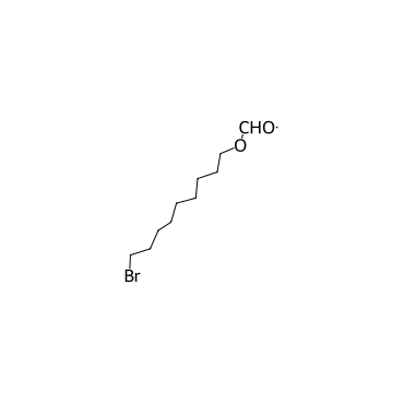 O=[C]OCCCCCCCCCBr